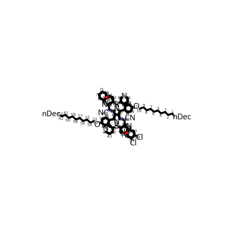 CCCCCCCCCCCCCCCCCCCCOc1ccc(-c2c3/c(=C(\C#N)c4cnc5cc(Cl)c(Cl)cc5n4)n(B(c4cccnc4)c4cccnc4)c(-c4ccc(OCCCCCCCCCCCCCCCCCCCC)cc4)c3/c(=C(\C#N)c3cnc4ccccc4n3)n2B(c2cccnc2)c2cccnc2)cc1